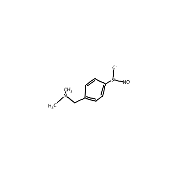 CN(C)Cc1ccc([S+]([O-])N=O)cc1